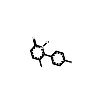 CCn1c(-c2ccc(F)cc2)c(C)ccc1=O